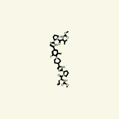 C=CC[C@H](NC(=O)OC)C(=O)N1CCC[C@H]1c1ncc(C2CCN(c3c(F)cc(-c4cnc([C@@H]5CCCN5C(=O)[C@@H](NC(=O)OC)C(C)C)[nH]4)cc3F)CC2)[nH]1